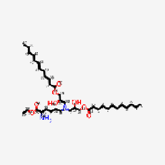 CCCCCCCCCCCC(=O)OCC(O)CN(CCCCC(N)C(=O)OCC)CC(O)COC(=O)CCCCCCCCCCC